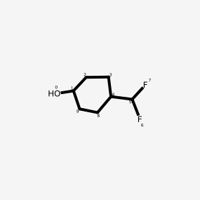 OC1CCC(C(F)F)CC1